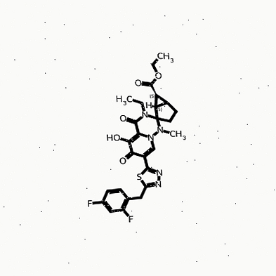 CCOC(=O)[C@H]1C2CCC3([C@@H]21)N(CC)C(=O)c1c(O)c(=O)c(-c2nnc(Cc4ccc(F)cc4F)s2)cn1N3C